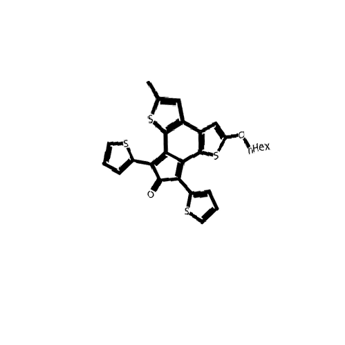 CCCCCCOc1cc2c(s1)c1c(c3sc(C)cc32)=C(c2cccs2)C(=O)C=1c1cccs1